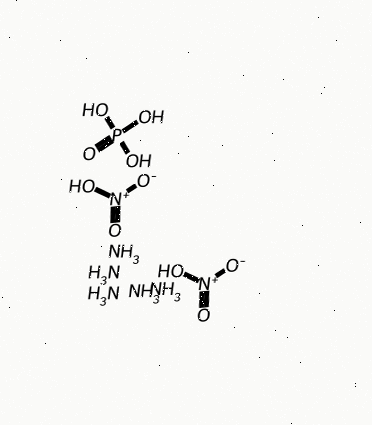 N.N.N.N.N.O=P(O)(O)O.O=[N+]([O-])O.O=[N+]([O-])O